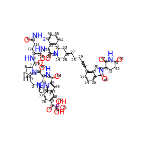 CN1CC[C@H]2CC[C@@H](C(=O)N[C@@H](CCC(N)=O)C(=O)N[C@H](C(=O)N3CCC(CCCC#Cc4cccc5c4CN(C4CCC(=O)NC4=O)C5=O)CC3)c3ccccc3)N2C(=O)[C@@H](NC(=O)c2cc3cc(C(=O)P(=O)(O)O)ccc3[nH]2)C1